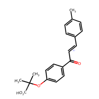 Cc1ccc(/C=C/C(=O)c2ccc(OC(C)(C)C(=O)O)cc2)cc1